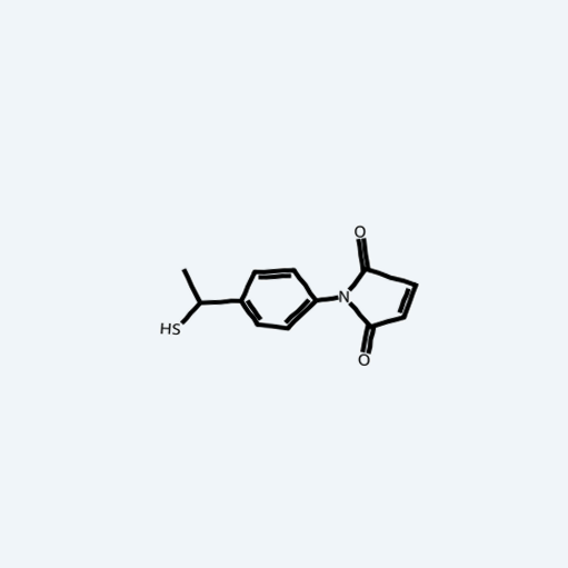 CC(S)c1ccc(N2C(=O)C=CC2=O)cc1